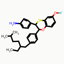 CCC(CCC(C)C)Cc1ccc(C2Oc3ccc(OF)cc3SC2c2ccc(N)cc2)cc1